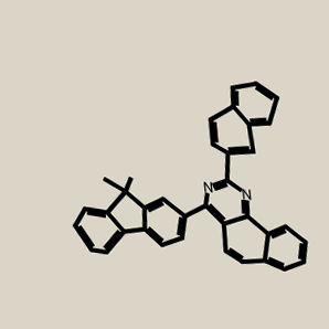 CC1(C)c2ccccc2-c2ccc(-c3nc(-c4ccc5ccccc5c4)nc4c3ccc3ccccc34)cc21